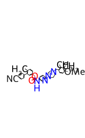 COc1ccc(CN2CCCN(c3ccc(NC(=O)Oc4ccc(C)c(-c5ccc(C#N)cc5)c4)cn3)CC2)c(C)c1C